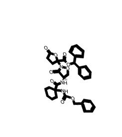 O=C1CCC(C(=O)OC(c2ccccc2)c2ccccc2)(N2OC[C@H](NC(=O)C3(NC(=O)OCc4ccccc4)CCCCC3)C2=O)O1